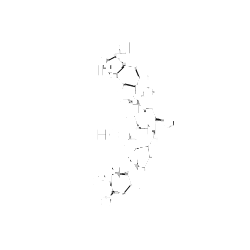 Cn1nc(N2CCC(CN3C(=O)CN(S(=O)(=O)c4ccc5c(Cl)c[nH]c5c4)C[C@H]3C(=O)O)CC2)ccc1=O